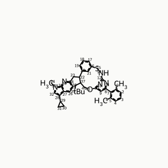 Cc1cccc(C)c1-c1cc2nc(n1)NSc1cccc(c1)C(Cc1ccc3c(C4CC4)cn(C)c3n1)C(CC(C)(C)C)CO2